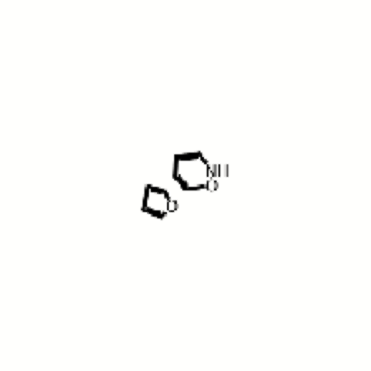 C1=CNOC=C1.c1ccoc1